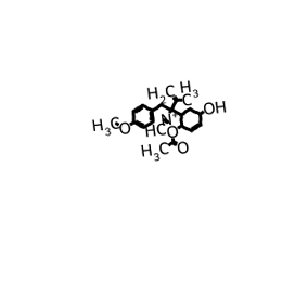 C#[N+]C(Cc1ccc(OC)cc1)(C(=C)C)C1CC(O)C=CC1OC(C)=O